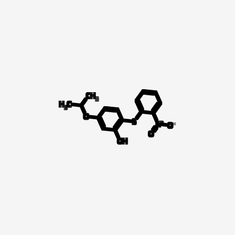 CC(C)Oc1ccc(Sc2ccccc2[N+](=O)[O-])c(O)c1